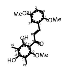 COc1ccc(OC)c(C=CC(=O)c2c(O)c(C)c(O)c(C)c2OC)c1